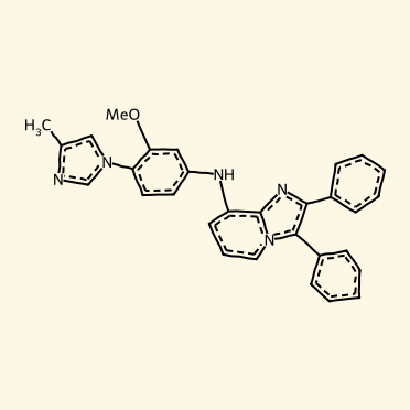 COc1cc(Nc2cccn3c(-c4ccccc4)c(-c4ccccc4)nc23)ccc1-n1cnc(C)c1